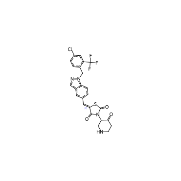 O=C1CCNCC1N1C(=O)S/C(=C\c2ccc3c(cnn3Cc3ccc(Cl)cc3C(F)(F)F)c2)C1=O